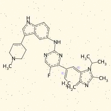 C=c1nc(C)n(C(C)C)/c1=C/C(=C\C)c1nc(Nc2ccc3[nH]cc(C4=CCN(C)CC4)c3c2)ncc1F